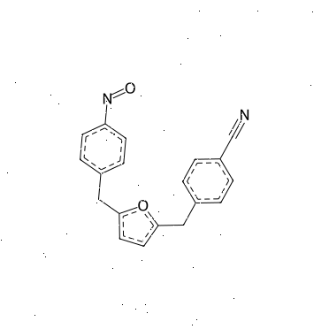 N#Cc1ccc(Cc2ccc(Cc3ccc(N=O)cc3)o2)cc1